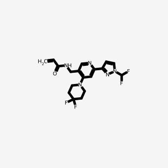 C=CC(=O)NCc1cnc(-c2ccn(C(F)F)n2)cc1N1CCC(F)(F)CC1